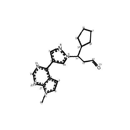 [CH2]n1ccc2c(-c3cnn(C(CC=O)C4CCCC4)c3)ncnc21